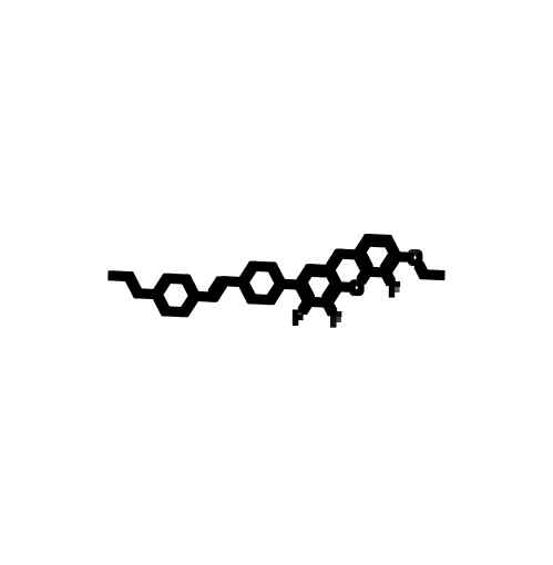 CCCC1CCC(/C=C/C2CCC(c3cc4c(c(F)c3F)Oc3c(ccc(OCC)c3F)C4)CC2)CC1